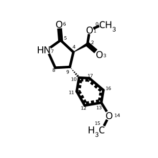 COC(=O)[C@@H]1C(=O)NC[C@H]1c1ccc(OC)cc1